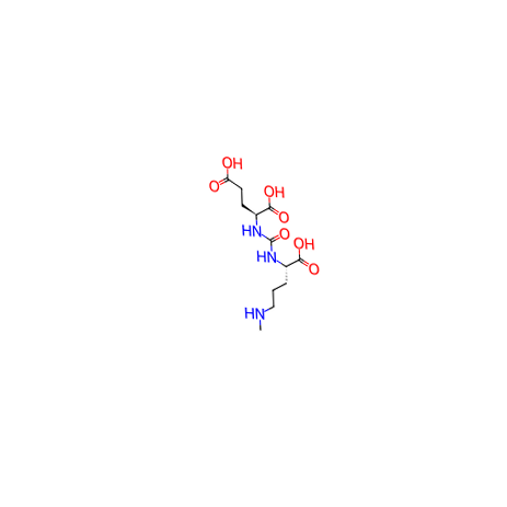 CNCCC[C@H](NC(=O)N[C@@H](CCC(=O)O)C(=O)O)C(=O)O